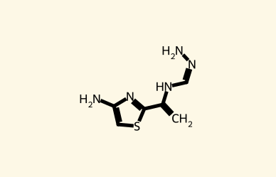 C=C(N/C=N\N)c1nc(N)cs1